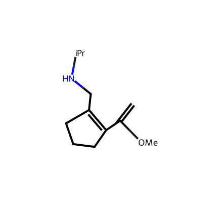 C=C(OC)C1=C(CNC(C)C)CCC1